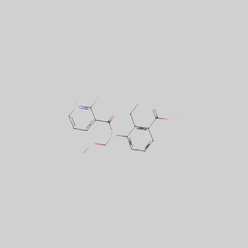 CCc1c(C(=O)O)cccc1N(COC)C(=O)c1cccnc1Cl